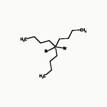 CCCCP(Br)(Br)(CCCC)CCCC